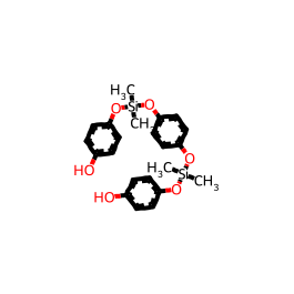 C[Si](C)(Oc1ccc(O)cc1)Oc1ccc(O[Si](C)(C)Oc2ccc(O)cc2)cc1